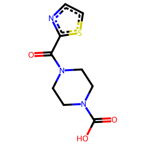 O=C(O)N1CCN(C(=O)c2nccs2)CC1